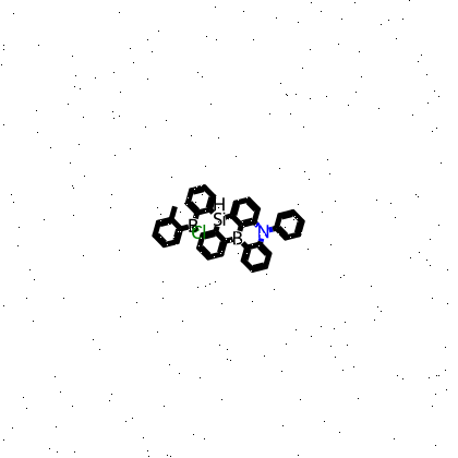 Cc1ccccc1B(Cl)c1ccccc1[SiH]1c2ccccc2B2c3ccccc3N(c3ccccc3)c3cccc1c32